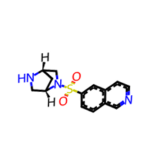 O=S(=O)(c1ccc2cnccc2c1)N1C[C@@H]2C[C@H]1CN2